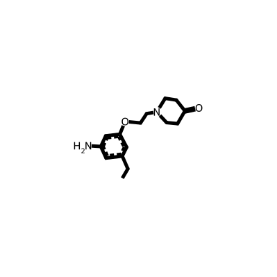 CCc1cc(N)cc(OCCN2CCC(=O)CC2)c1